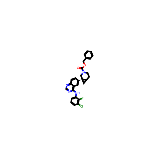 O=C(OCc1ccccc1)N1CCC2C[C@@]2(c2ccc3ncnc(Nc4cccc(Cl)c4F)c3c2)C1